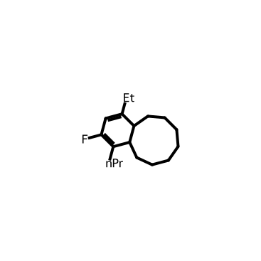 CCCC1=C(F)C=C(CC)C2CCCCCCCC12